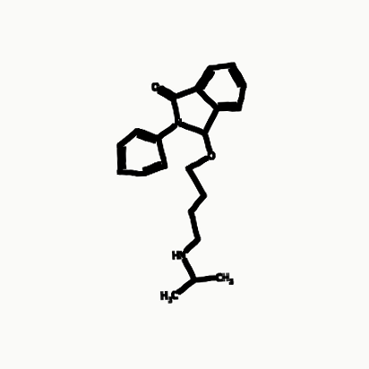 CC(C)NCCCCOC1c2ccccc2C(=O)N1c1ccccc1